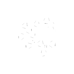 O=c1ccc2ccccc2o1.c1ccc(-c2c3ccccc3c(-c3ccccc3)c3cc(N(c4ccccc4)c4ccc5c(c4)c4ccccc4n5-c4ccccc4)ccc23)cc1